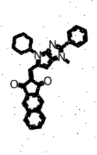 Cn1c(-c2ccccc2)nc2c1cc(C=C1C(=O)c3cc4ccccc4cc3C1=O)n2C1CCCCC1